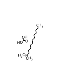 CCCCCCCCCCCCN(C)C.O=C(O)O